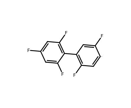 Fc1[c]cc(F)c(-c2c(F)cc(F)cc2F)c1